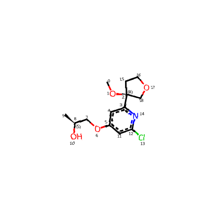 CO[C@@]1(c2cc(OC[C@H](C)O)cc(Cl)n2)CCOC1